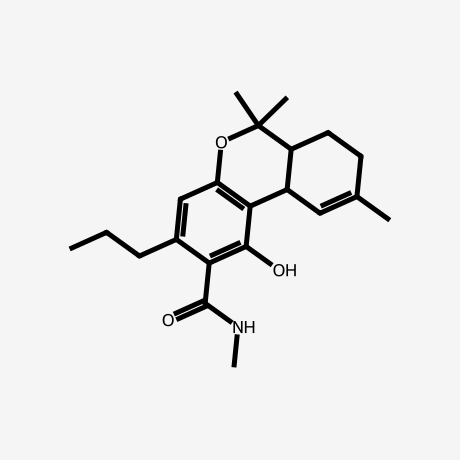 CCCc1cc2c(c(O)c1C(=O)NC)C1C=C(C)CCC1C(C)(C)O2